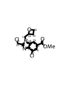 COC(=O)c1cc(Cl)c2nc(CCl)n(CC3CCO3)c2c1